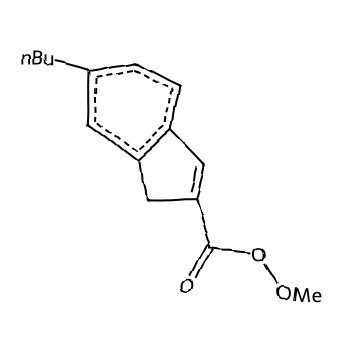 CCCCc1ccc2c(c1)CC(C(=O)OOC)=C2